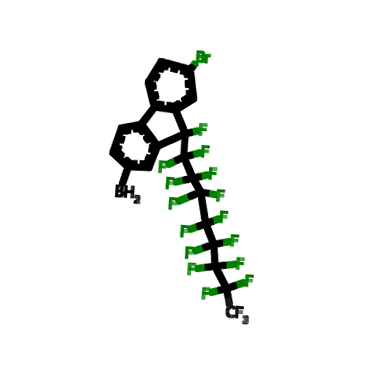 Bc1ccc2c(c1)C(F)(C(F)(F)C(F)(F)C(F)(F)C(F)(F)C(F)(F)C(F)(F)C(F)(F)C(F)(F)F)c1cc(Br)ccc1-2